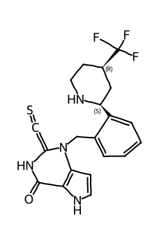 O=C1NC(=C=S)N(Cc2ccccc2[C@@H]2C[C@H](C(F)(F)F)CCN2)c2cc[nH]c21